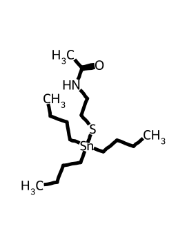 CCC[CH2][Sn]([CH2]CCC)([CH2]CCC)[S]CCNC(C)=O